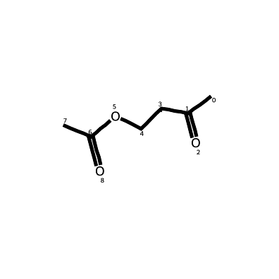 CC(=O)[CH]COC(C)=O